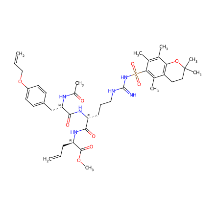 C=CCOc1ccc(C[C@H](NC(C)=O)C(=O)N[C@H](CCCNC(=N)NS(=O)(=O)c2c(C)c(C)c3c(c2C)CCC(C)(C)O3)C(=O)N[C@H](CC=C)C(=O)OC)cc1